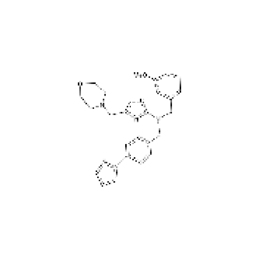 COc1cccc(CN(Cc2ccc(-n3cccn3)cc2)c2nc(CN3CCOCC3)co2)c1